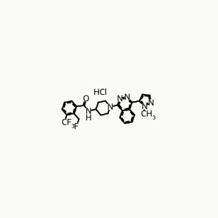 Cl.Cn1nccc1-c1nnc(N2CCC(NC(=O)c3cccc(C(F)(F)F)c3CF)CC2)c2ccccc12